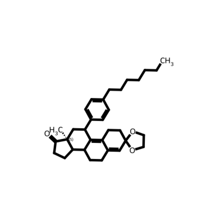 CCCCCCCc1ccc(C2C[C@]3(C)C(=O)CCC3C3CCC4=CC5(CCC4=C23)OCCO5)cc1